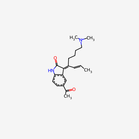 CC=CC(CCCCN(C)C)=C1C(=O)Nc2ccc(C(C)=O)cc21